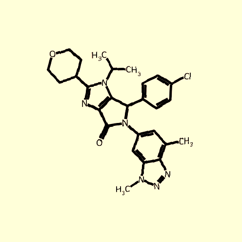 Cc1cc(N2C(=O)c3nc(C4CCOCC4)n(C(C)C)c3C2c2ccc(Cl)cc2)cc2c1nnn2C